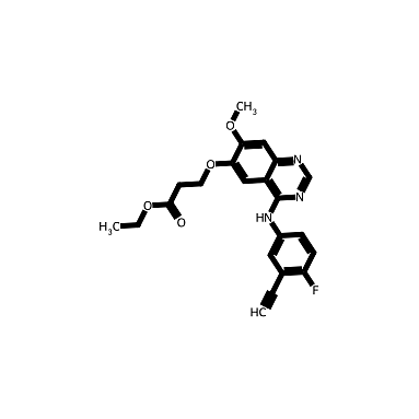 C#Cc1cc(Nc2ncnc3cc(OC)c(OCCC(=O)OCC)cc23)ccc1F